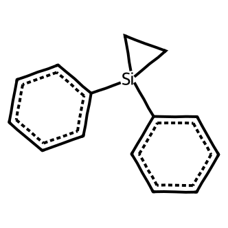 c1ccc([Si]2(c3ccccc3)CC2)cc1